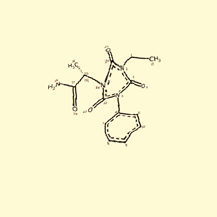 CCn1c(=O)n(-c2ccccc2)c(=O)n([C@@H](C)C(N)=O)c1=O